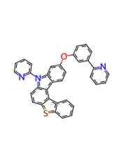 c1ccc(-c2cccc(Oc3ccc4c5c6c(ccc5n(-c5ccccn5)c4c3)sc3ccccc36)c2)nc1